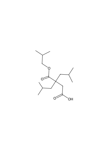 CC(C)COC(=O)C(CC(=O)O)(CC(C)C)CC(C)C